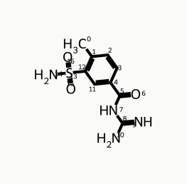 Cc1ccc(C(=O)NC(=N)N)cc1S(N)(=O)=O